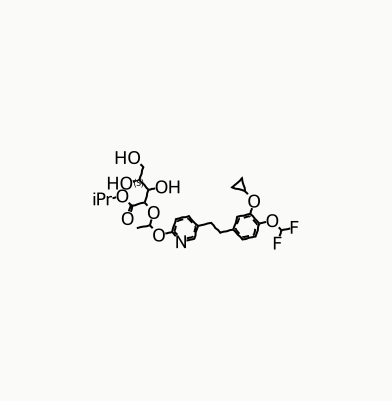 CC(C)OC(=O)C(OC(C)Oc1ccc(CCc2ccc(OC(F)F)c(OC3CC3)c2)cn1)C(O)[C@@H](O)CO